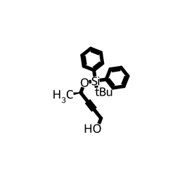 C[C@H](C#CCO)O[Si](c1ccccc1)(c1ccccc1)C(C)(C)C